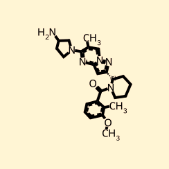 COc1cccc(C(=O)N2CCCC[C@H]2c2cc3nc(N4CCC(N)C4)c(C)cn3n2)c1C